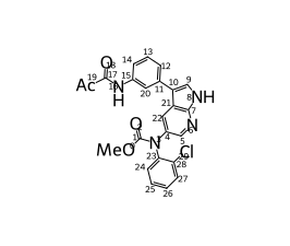 COC(=O)N(c1cnc2[nH]cc(-c3cccc(NC(=O)C(C)=O)c3)c2c1)c1ccccc1Cl